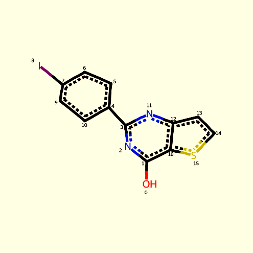 Oc1nc(-c2ccc(I)cc2)nc2ccsc12